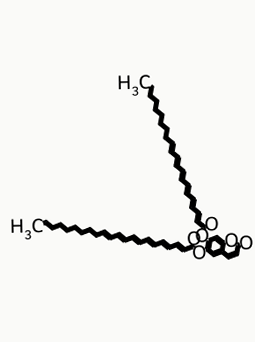 CCCCCCCCCC=CC=CC=CC=CC=CC=CC(=O)Oc1cc2ccc(=O)oc2cc1OC(=O)C=CC=CC=CC=CC=CC=CCCCCCCCCC